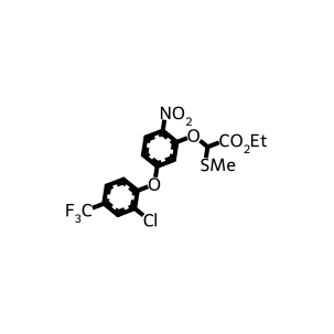 CCOC(=O)C(Oc1cc(Oc2ccc(C(F)(F)F)cc2Cl)ccc1[N+](=O)[O-])SC